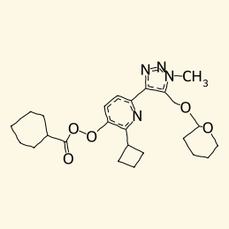 Cn1nnc(-c2ccc(OOC(=O)C3CCCCC3)c(C3CCC3)n2)c1COC1CCCCO1